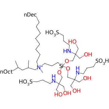 CCCCCCCCCCCCCCCCCC[N+](C)(CCC[Si](OCC(CO)(CO)NCCCS(=O)(=O)O)(OCC(CO)(CO)NCCCS(=O)(=O)O)OCC(CO)(CO)NCCCS(=O)(=O)O)CC(C)CC(C)CCCCCCCC